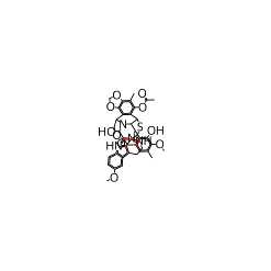 COc1ccc2[nH]c3c(c2c1)CCNC31CSC2c3c(OC(C)=O)c(C)c4c(c3C(COC1=O)N1C(O)C3Cc5cc(C)c(OC)c(O)c5C(C21)N3C)OCO4